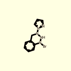 BrN1NN(n2cccn2)Cc2ccccc21